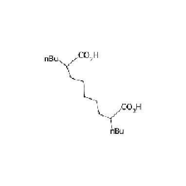 CCCCC(CCCCCC(CCCC)C(=O)O)C(=O)O